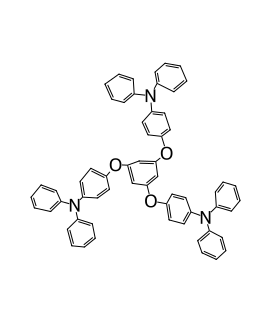 c1ccc(N(c2ccccc2)c2ccc(Oc3cc(Oc4ccc(N(c5ccccc5)c5ccccc5)cc4)cc(Oc4ccc(N(c5ccccc5)c5ccccc5)cc4)c3)cc2)cc1